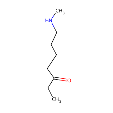 CCC(=O)CCCCNC